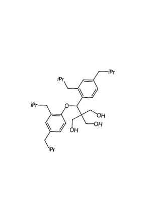 CC(C)Cc1ccc(OC(c2ccc(CC(C)C)cc2CC(C)C)C(CO)(CO)CO)c(CC(C)C)c1